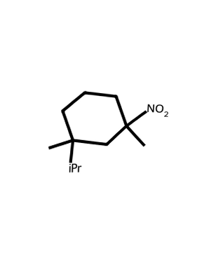 CC(C)C1(C)CCCC(C)([N+](=O)[O-])C1